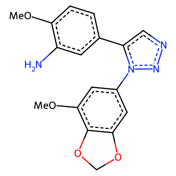 COc1ccc(-c2cnnn2-c2cc(OC)c3c(c2)OCO3)cc1N